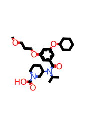 COCCCOc1cc(OC2CCCCC2)cc(C(=O)N(C(C)C)[C@@H]2CCCN(C(=O)O)C2)c1